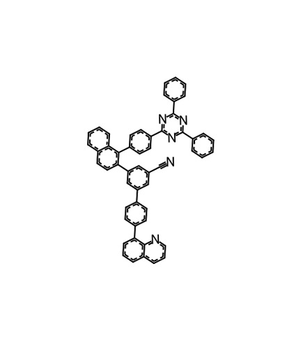 N#Cc1cc(-c2ccc(-c3cccc4cccnc34)cc2)cc(-c2ccc3ccccc3c2-c2ccc(-c3nc(-c4ccccc4)nc(-c4ccccc4)n3)cc2)c1